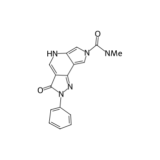 CNC(=O)n1cc2[nH]cc3c(=O)n(-c4ccccc4)nc-3c2c1